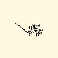 CCCCCCCCCCCCS(=O)(=O)CCCn1c(=O)n(P(=O)(O)O)c(=O)c2[nH]c(=O)[nH]c21